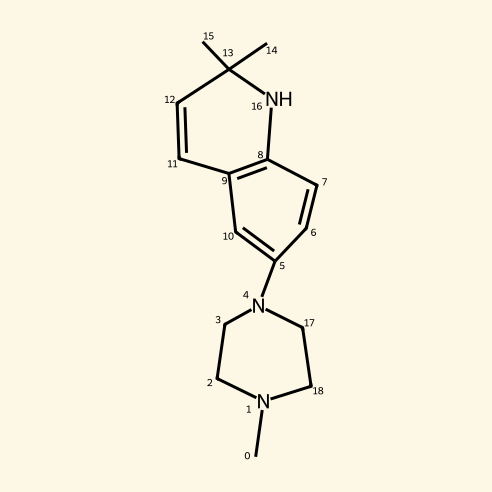 CN1CCN(c2ccc3c(c2)C=CC(C)(C)N3)CC1